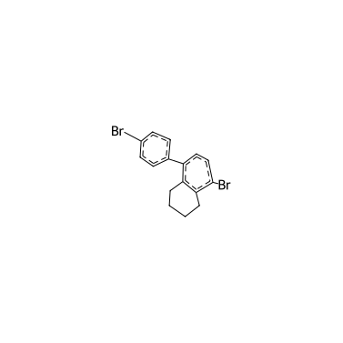 Brc1ccc(-c2ccc(Br)c3c2CCCC3)cc1